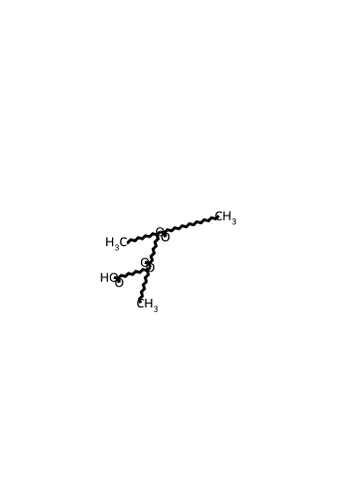 CCCCCCCCCCCCCCCC(=O)OC(CCCCCCCCC)CCCCCCCC(=O)OC(CCCCCCCCC)CCCCCCCC(=O)O